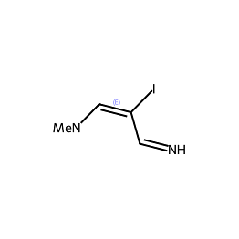 CN/C=C(/I)C=N